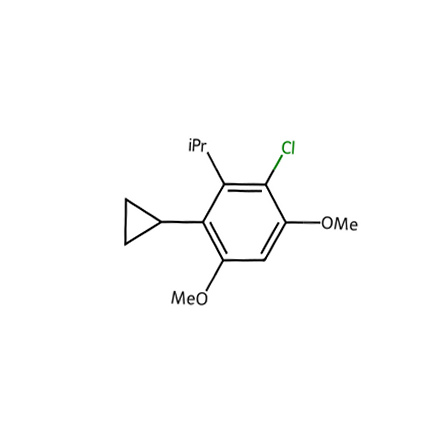 COc1cc(OC)c(C2CC2)c(C(C)C)c1Cl